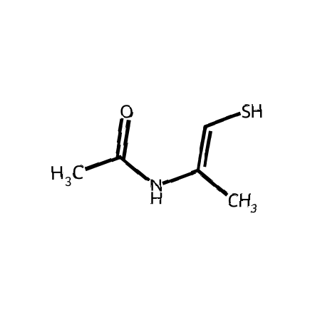 CC(=O)NC(C)=CS